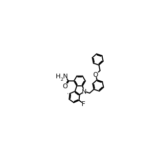 NC(=O)c1cccc2c1c1[c]ccc(F)c1n2Cc1cccc(OCc2ccccc2)c1